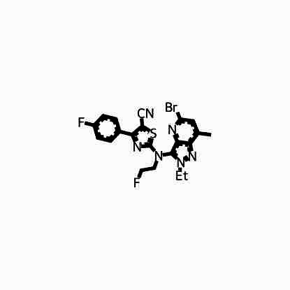 CCn1nc2c(C)cc(Br)nc2c1N(CCF)c1nc(-c2ccc(F)cc2)c(C#N)s1